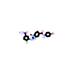 Cn1c(Nc2cc(C(N)=O)ccc2Cl)nc2cc(C(=O)Nc3ccc(Br)cc3)ccc21